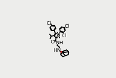 CC(C)c1c(C(=O)NCCNC2C3CC4CC(C3)CC2C4)nn(-c2ccc(Cl)cc2Cl)c1-c1ccc(Cl)cc1